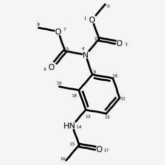 COC(=O)N(C(=O)OC)c1cccc(NC(C)=O)c1C